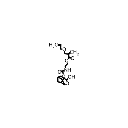 C=CCOCC(=C)C(=O)OCCNC(=O)OC1C2CC3C(O)OC1C3C2